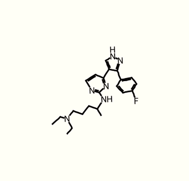 CCN(CC)CCCC(C)Nc1nccc(-c2c[nH]nc2-c2ccc(F)cc2)n1